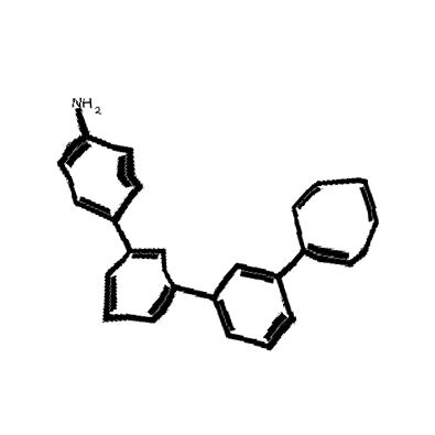 Nc1ccc(-c2cccc(-c3cccc(-c4ccccc4)c3)c2)cc1